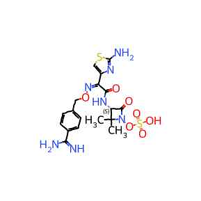 CC1(C)[C@H](NC(=O)C(=NOCc2ccc(C(=N)N)cc2)c2csc(N)n2)C(=O)N1OS(=O)(=O)O